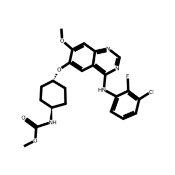 COC(=O)N[C@H]1CC[C@H](Oc2cc3c(Nc4cccc(Cl)c4F)ncnc3cc2OC)CC1